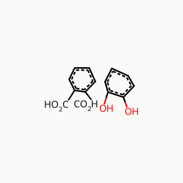 O=C(O)c1ccccc1C(=O)O.Oc1ccccc1O